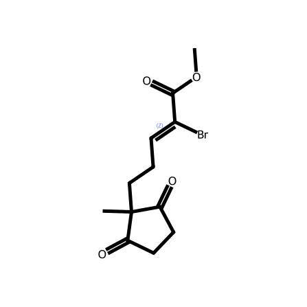 COC(=O)/C(Br)=C/CCC1(C)C(=O)CCC1=O